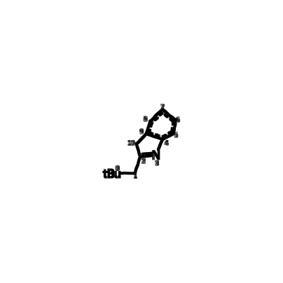 CC(C)(C)CC1=Nc2ccccc2C1